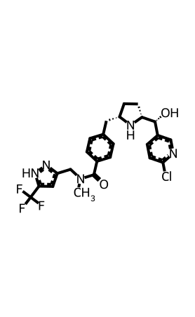 CN(Cc1cc(C(F)(F)F)[nH]n1)C(=O)c1ccc(C[C@@H]2CC[C@H]([C@H](O)c3ccc(Cl)nc3)N2)cc1